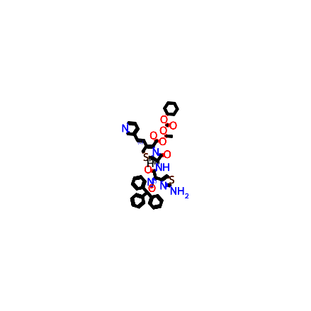 CC(OC(=O)OC1CCCCC1)OC(=O)C1=C(/C=C/c2cccnc2)CS[C@@H]2[C@H](NC(=O)/C(=N/OC(c3ccccc3)(c3ccccc3)c3ccccc3)c3csc(N)n3)C(=O)N12